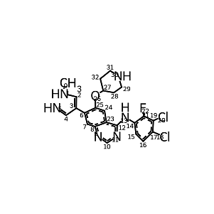 CN/C=C(\C=N)c1cc2ncnc(Nc3ccc(Cl)c(Cl)c3F)c2cc1OC1CCNCC1